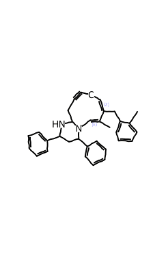 CC1=C\N2C(CC#CC/C=C\1Cc1ccccc1C)NC(c1ccccc1)CC2c1ccccc1